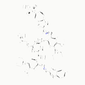 CCN(CC)c1cc(Nc2nc(Nc3cc(N(CC)CC)c(OC)cc3/N=N/c3nc4ccc(S(=O)(=O)O)cc4s3)nc(SCCO)n2)c(/N=N/c2nc3ccccc3s2)cc1OC